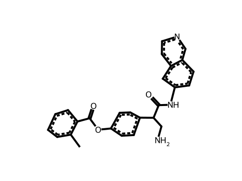 Cc1ccccc1C(=O)Oc1ccc(C(CN)C(=O)Nc2ccc3cnccc3c2)cc1